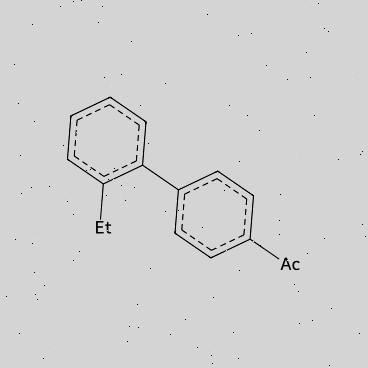 CCc1ccccc1-c1ccc(C(C)=O)cc1